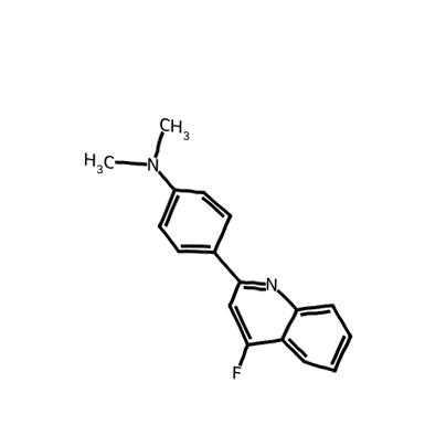 CN(C)c1ccc(-c2cc(F)c3ccccc3n2)cc1